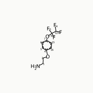 NCCOc1ccc(OC(F)(F)C(F)F)cc1